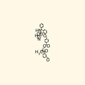 CN(CCOC(=O)c1ccc(COc2cccc([C@@H](NC(=O)O[C@H]3CN4CCC3CC4)c3ccccc3)c2)cc1)C(=O)c1cccc(C=O)c1